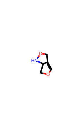 C1=C2CONC2CO1